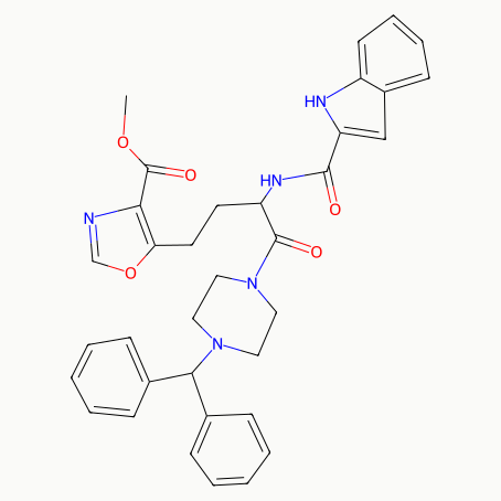 COC(=O)c1ncoc1CCC(NC(=O)c1cc2ccccc2[nH]1)C(=O)N1CCN(C(c2ccccc2)c2ccccc2)CC1